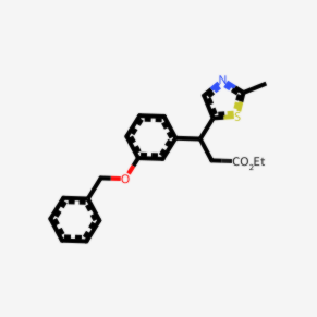 CCOC(=O)CC(c1cccc(OCc2ccccc2)c1)c1cnc(C)s1